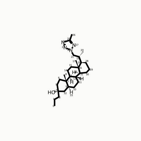 CCC[C@@]1(O)CC[C@@]2(C)[C@@H](CC[C@@H]3[C@@H]2CC[C@]2(C)[C@@H]([C@@H](C)Cn4nnc(C)n4)CCC[C@@H]32)C1